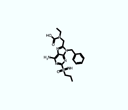 CCCS(=N)(=O)c1nc(N)c2nc(CN(CC)C(=O)O)n(Cc3ccccc3)c2n1